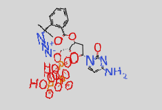 CC(C)(N=[N+]=[N-])c1ccccc1C(=O)OC1C[C@H](n2ccc(N)nc2=O)O[C@@H]1COP(=O)(O)OP(=O)(O)OP(=O)(O)O